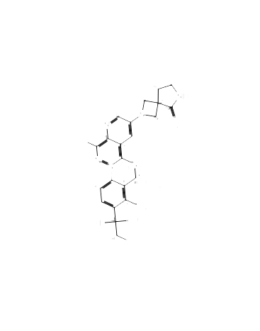 Cc1nnc(N[C@H](C)c2cccc(C(F)(F)CO)c2F)c2cc(N3CC4(CCNC4=O)C3)cnc12